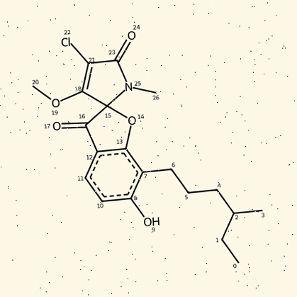 CCC(C)CCCc1c(O)ccc2c1OC1(C2=O)C(OC)=C(Cl)C(=O)N1C